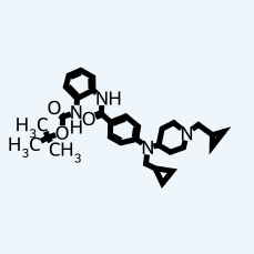 CC(C)(C)OC(=O)Nc1ccccc1NC(=O)c1ccc(N(CC2CC2)C2CCN(CC3CC3)CC2)cc1